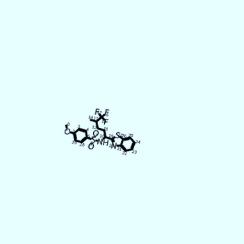 COc1ccc(S(=O)(=O)NC(CCC(C)C(F)(F)F)c2nc3ccccc3s2)cc1